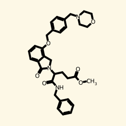 COC(=O)CCC(C(=O)NCc1ccccc1)N1Cc2c(OCc3ccc(CN4CCOCC4)cc3)cccc2C1=O